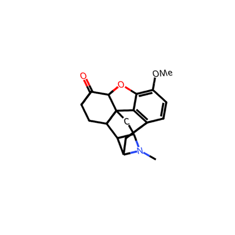 COc1ccc2c3c1OC1C(=O)CCC4C5C(C2)N(C)C5CC314